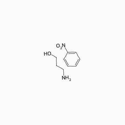 NCCCO.O=[N+]([O-])c1ccccc1